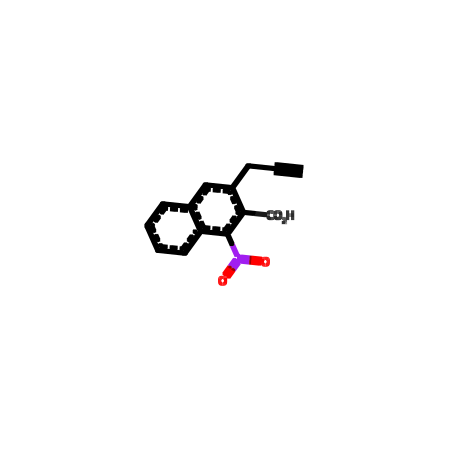 C#CCc1cc2ccccc2c(I(=O)=O)c1C(=O)O